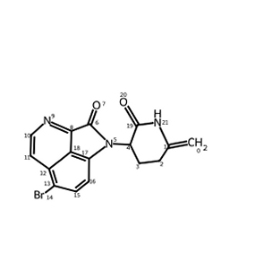 C=C1CCC(N2C(=O)c3nccc4c(Br)ccc2c34)C(=O)N1